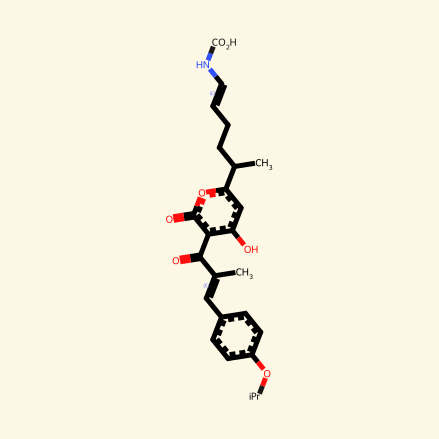 C/C(=C\c1ccc(OC(C)C)cc1)C(=O)c1c(O)cc(C(C)CC/C=C/NC(=O)O)oc1=O